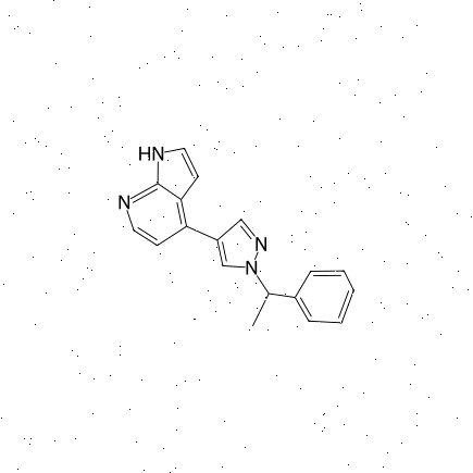 CC(c1ccccc1)n1cc(-c2ccnc3[nH]ccc23)cn1